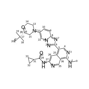 CNc1ncc(-c2nc3ccc(N4CCO[C@@H](C(C)(C)F)C4)cn3n2)c2cc(NC(=O)C3CC3)ncc12